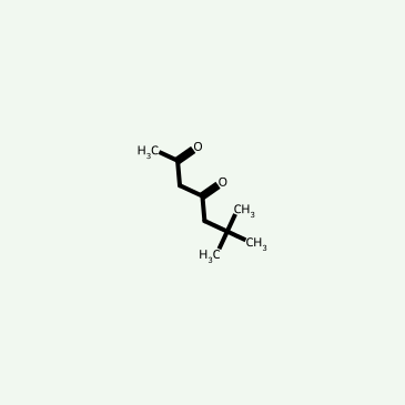 CC(=O)CC(=O)CC(C)(C)C